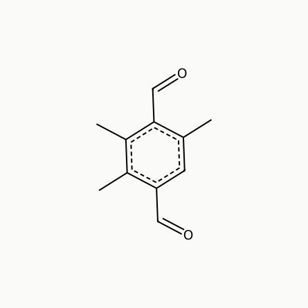 Cc1cc(C=O)c(C)c(C)c1C=O